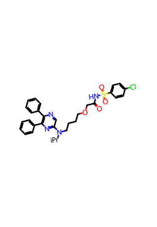 CC(C)N(CCCCOCC(=O)NS(=O)(=O)c1ccc(Cl)cc1)c1cnc(-c2ccccc2)c(-c2ccccc2)n1